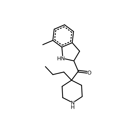 CCCC1(C(=O)C2Cc3cccc(C)c3N2)CCNCC1